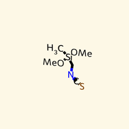 CO[Si](C)(CN=C=S)OC